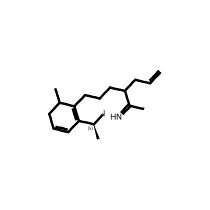 C=CCC(CCCC1=C([C@H](C)I)C=CCC1C)C(C)=N